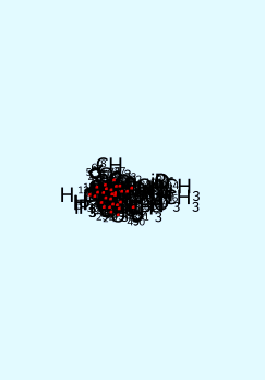 CCSSc1cccc(C)c1OC(=O)C[C@H](NC(=O)[C@H](Cc1ccccc1)NC(=O)[C@H](C(C)C)N(C)C(=O)[C@H](CC(C)C)N(C)C(=O)CNC(=O)[C@H](Cc1ccccc1)N(C)C(=O)[C@H]([C@@H](C)OC(c1ccccc1)(c1ccccc1)c1ccccc1)N1C(=O)[C@@H](N(C)C(=O)[C@@H](NC(=O)[C@H](C)N(C)C(=O)OC(C)(C)C)C(C)C)CC1C)C(=O)N(C)C(Cc1ccccc1)C(=O)N[C@@H](C)C(=O)N1CCCCC1